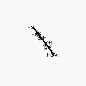 CC(=O)N(O)CCCCCNC(=O)CCC(=O)N(O)CCCCCNC(=O)CCC(=O)N(O)CCCCCC(C)(C)S